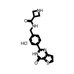 Cl.O=C(NCc1ccc(-c2nc3ccsc3c(=O)[nH]2)cc1)C1CNC1